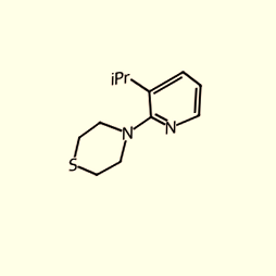 CC(C)c1cccnc1N1CCSCC1